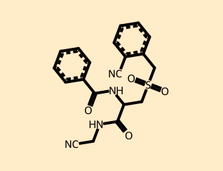 N#CCNC(=O)C(CS(=O)(=O)Cc1ccccc1C#N)NC(=O)c1ccccc1